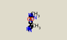 Cc1cc2ncnn2cc1C1CCN(S(=O)(=O)c2cnn(C)c2C#N)CC1